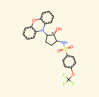 O=S(=O)(NC1CCC(N2c3ccccc3Oc3ccccc32)[C@H]1O)c1ccc(OC(F)(F)F)cc1